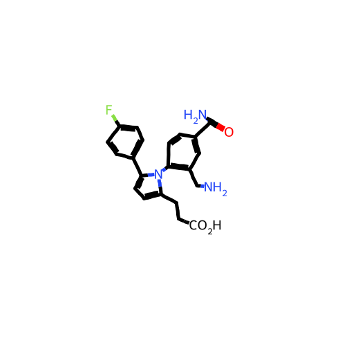 NCc1cc(C(N)=O)ccc1-n1c(CCC(=O)O)ccc1-c1ccc(F)cc1